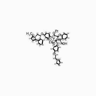 CCO[C@@H](Cc1ccc(OCCn2c(C)ccc2-c2ccccc2)cc1)C(=O)N([C@H](CO)c1ccccc1)C(Cc1ccc(OCCn2cccc2)cc1)(OCC)C(=O)O